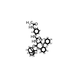 CC(=O)Nc1cccc(NC(=O)NC2C(=O)N(CC34CC5CC(CC(C5)C3)C4)c3ccccc3N(c3ccccc3)C2=O)c1